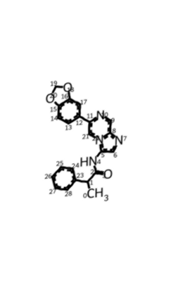 CC(C(=O)Nc1cnc2cnc(-c3ccc4c(c3)OCO4)cn12)c1ccccc1